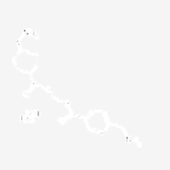 Cl.Cl.NCc1ccc(C(=O)OCOC(=O)[C@H]2CC[C@H](CN)CC2)cc1